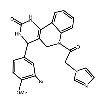 COc1ccc(C2NC(=O)NC3=C2CN(C(=O)Cn2ccnc2)c2ccccc23)cc1Br